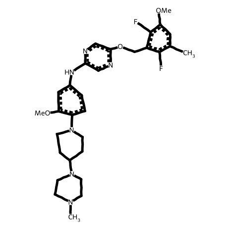 COc1cc(Nc2cnc(OCc3c(F)c(C)cc(OC)c3F)cn2)ccc1N1CCC(N2CCN(C)CC2)CC1